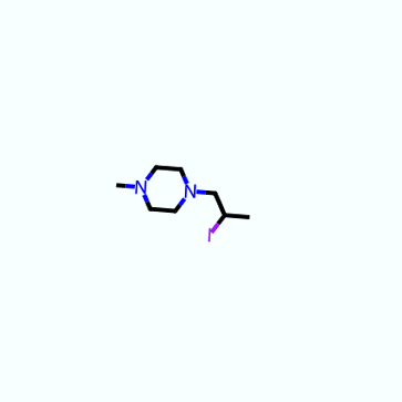 CC(I)CN1CCN(C)CC1